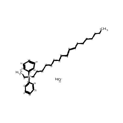 CCCCCCCCCCCCCCCCCC[N+](CC)(c1ccccc1)c1ccccc1.[OH-]